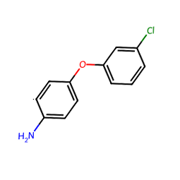 Nc1[c]cc(Oc2cccc(Cl)c2)cc1